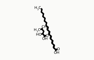 CC(C)CC(O)C(=O)O.CCCCCCCCCC=CC=CC=CC=CC=CC(=O)O